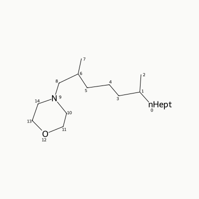 CCCCCCCC(C)CCCC(C)CN1CCOCC1